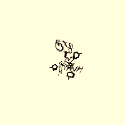 CCOC(CN1C(=O)C(CC(=O)Nc2ccc(C)cc2)(NC(=O)Nc2ccc(C)cc2)c2cc(C)ccc21)OCC